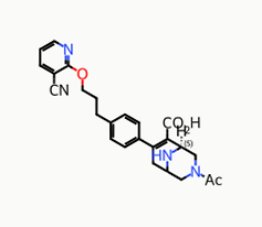 CC(=O)N1CC2CC(c3ccc(CCCOc4ncccc4C#N)cc3)=C(C(=O)O)[C@@H](C1)N2